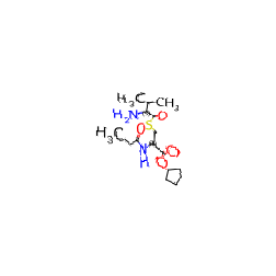 CCC(=O)N[C@@H](CSC(=O)[C@@H](N)C(C)C)C(=O)OC1CCCC1